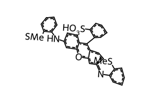 CSc1ccccc1/N=c1\ccc2c(-c3ccccc3S(=O)(=O)O)c3ccc(Nc4ccccc4SC)cc3oc-2c1